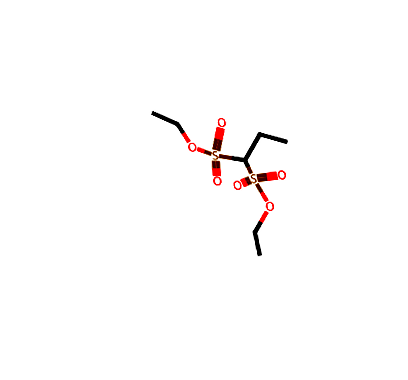 CCOS(=O)(=O)C(CC)S(=O)(=O)OCC